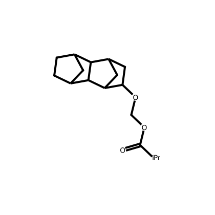 CC(C)C(=O)OCOC1CC2CC1C1C3CCC(C3)C21